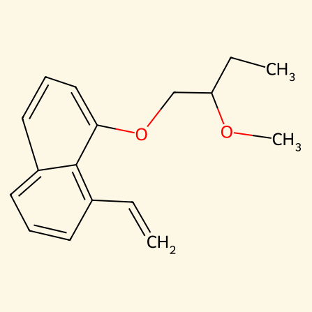 C=Cc1cccc2cccc(OCC(CC)OC)c12